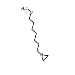 COCCCCCCCN1CC1